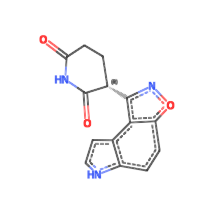 O=C1CC[C@H](c2noc3ccc4[nH]ccc4c23)C(=O)N1